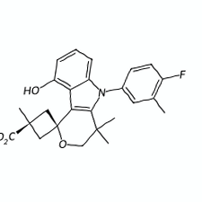 Cc1cc(-n2c3c(c4c(O)cccc42)[C@]2(C[C@](C)(C(=O)O)C2)OCC3(C)C)ccc1F